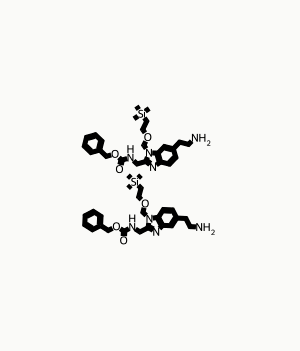 C[Si](C)(C)CCOCn1c(CNC(=O)OCc2ccccc2)nc2cc(CCN)ccc21.C[Si](C)(C)CCOCn1c(CNC(=O)OCc2ccccc2)nc2ccc(CCN)cc21